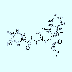 CCOC(=O)C1=CN(CCC(=O)c2ccc(F)c(F)c2)CCc2c1[nH]c1ccccc21